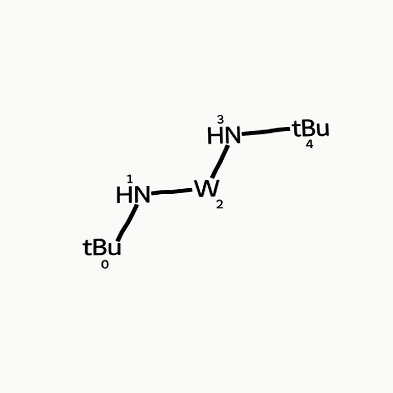 CC(C)(C)[NH][W][NH]C(C)(C)C